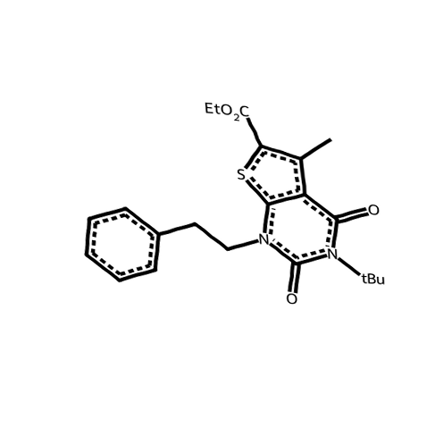 CCOC(=O)c1sc2c(c1C)c(=O)n(C(C)(C)C)c(=O)n2CCc1ccccc1